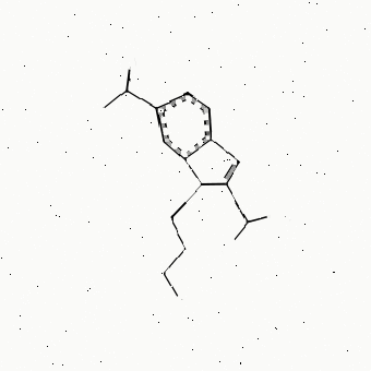 CCCCC1C(C(C)C)=Cc2ccc(C(C)C)cc21